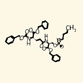 CCCCO[PH](=O)OC[C@H](NC(=O)CC[C@H](NC(=O)OCc1ccccc1)C(=O)OCc1ccccc1)C(=O)OCc1ccccc1